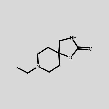 CCN1CCC2(CC1)CNC(=O)O2